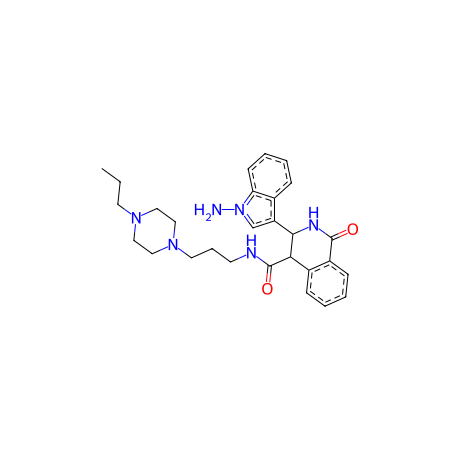 CCCN1CCN(CCCNC(=O)C2c3ccccc3C(=O)NC2c2cn(N)c3ccccc23)CC1